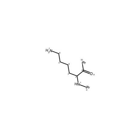 CC(C)NC(CCCCN)C(=O)C(C)C